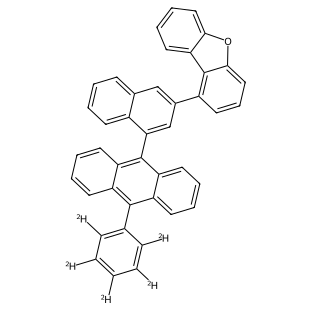 [2H]c1c([2H])c([2H])c(-c2c3ccccc3c(-c3cc(-c4cccc5oc6ccccc6c45)cc4ccccc34)c3ccccc23)c([2H])c1[2H]